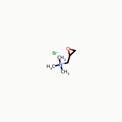 C[N+](C)(C)CC1CO1.[Br-]